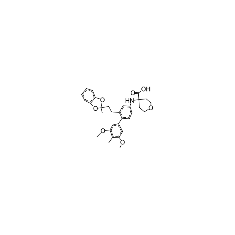 COc1cc(-c2ccc(NC3(C(=O)O)CCOCC3)cc2CCC2(C)Oc3ccccc3O2)cc(OC)c1C